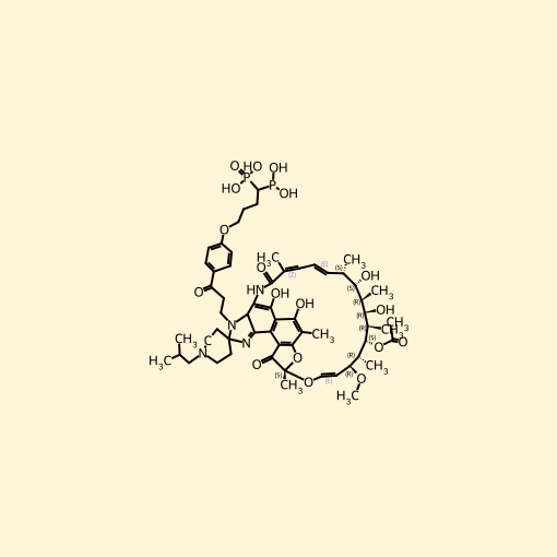 CO[C@H]1/C=C/O[C@@]2(C)Oc3c(C)c(O)c4c(c3C2=O)C2=NC3(CCN(CC(C)C)CC3)N(CCC(=O)c3ccc(OCCCC(P(O)O)P(=O)(O)O)cc3)C2C(=C4O)NC(=O)/C(C)=C\C=C\[C@H](C)[C@H](O)[C@@H](C)[C@@H](O)[C@@H](C)[C@H](OC(C)=O)[C@@H]1C